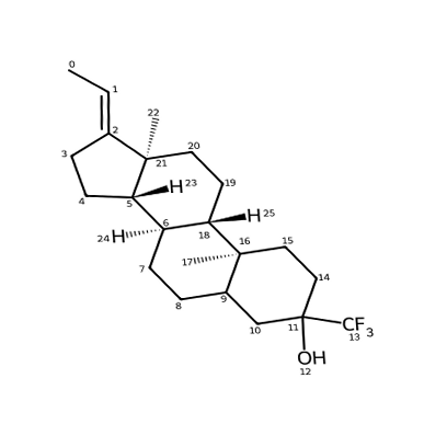 CC=C1CC[C@H]2[C@@H]3CCC4CC(O)(C(F)(F)F)CC[C@]4(C)[C@H]3CC[C@]12C